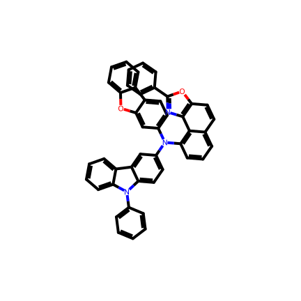 c1ccc(-c2nc3c(ccc4cccc(N(c5ccc6c(c5)oc5ccccc56)c5ccc6c(c5)c5ccccc5n6-c5ccccc5)c43)o2)cc1